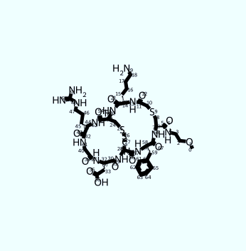 COCCNC(=O)[C@@H]1CSCC(=O)N[C@@H](CCCCN)C(=O)N[C@H]2CSSC[C@H](NC(=O)[C@H](CC(=O)O)NC(=O)CNC(=O)[C@H](CCCNC(=N)N)NC2=O)C(=O)N[C@@H](Cc2ccccc2)C(=O)N1